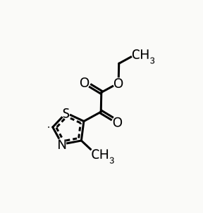 CCOC(=O)C(=O)c1s[c]nc1C